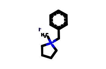 C[N+]1(Cc2ccccc2)CCCC1.[I-]